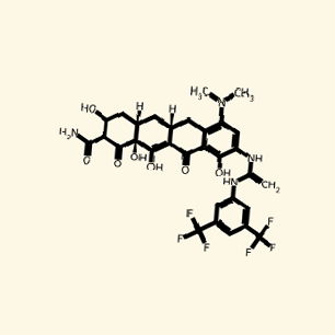 C=C(Nc1cc(C(F)(F)F)cc(C(F)(F)F)c1)Nc1cc(N(C)C)c2c(c1O)C(=O)C1=C(O)[C@]3(O)C(=O)C(C(N)=O)C(O)C[C@@H]3C[C@@H]1C2